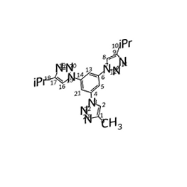 Cc1cn(-c2cc(-n3cc(C(C)C)nn3)cc(-n3cc(C(C)C)nn3)c2)nn1